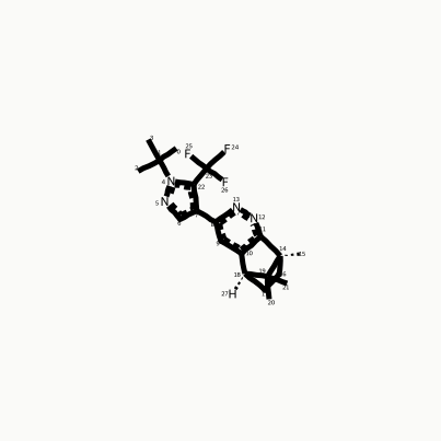 CC(C)(C)n1ncc(-c2cc3c(nn2)[C@@]2(C)CC[C@@H]3C2(C)C)c1C(F)(F)F